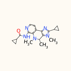 CC1c2c(nc(C3CC3)n2C)-c2ccnc(NC(=O)C3CC3)c2N1C